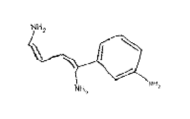 N/C=C\C=C(/N)c1cccc(N)c1